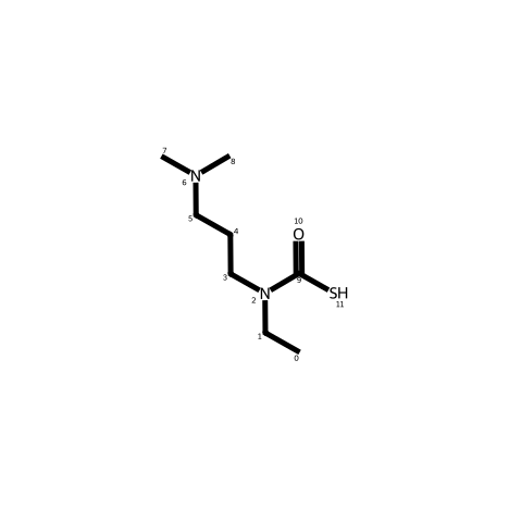 CCN(CCCN(C)C)C(=O)S